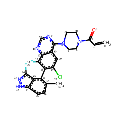 C=CC(=O)N1CCN(c2ncnc3c(F)c(-c4c(C)ccc5[nH]nc(F)c45)c(Cl)cc23)CC1